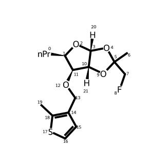 CCC[C@H]1O[C@@H]2OC(C)(CF)O[C@@H]2[C@H]1OCc1ccsc1C